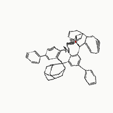 C1=C2CCCC13c1ccccc1C21c2cc(-c4ccccc4)cc4c2N(c2ccc(-c5ccccc5)cc2C42C4CC5CC(C4)CC2C5)c2cccc3c21